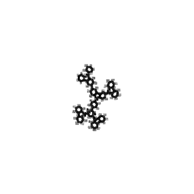 c1ccc(-n2c3ccccc3c3cc(-c4ccc5c(c4)c4cc(-n6c7ccccc7c7ccccc76)ccc4n5-c4ccc(-c5nc(-n6c7ccccc7c7ccccc76)cc(-n6c7ccccc7c7ccccc76)n5)cc4)ccc32)cc1